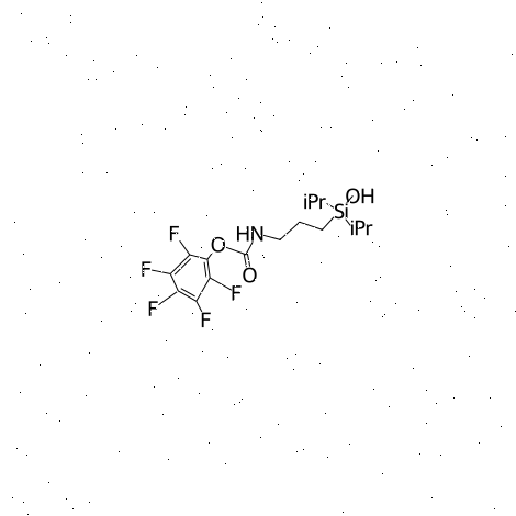 CC(C)[Si](O)(CCCNC(=O)Oc1c(F)c(F)c(F)c(F)c1F)C(C)C